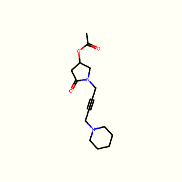 CC(=O)OC1CC(=O)N(CC#CCN2CCCCC2)C1